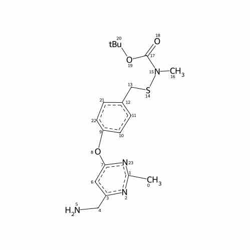 Cc1nc(CN)cc(Oc2ccc(CSN(C)C(=O)OC(C)(C)C)cc2)n1